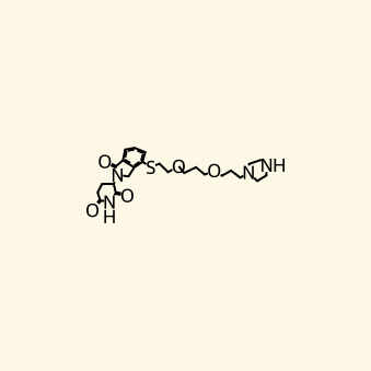 O=C1CCC(N2Cc3c(SCCOCCCOCCCN4CCNCC4)cccc3C2=O)C(=O)N1